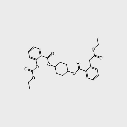 CCOC(=O)Cc1ccccc1C(=O)OC1CCC(OC(=O)c2ccccc2OC(=O)OCC)CC1